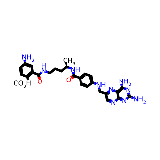 C[C@H](CCCNC(=O)c1cc(N)ccc1C(=O)O)NC(=O)c1ccc(NCc2cnc3nc(N)nc(N)c3n2)cc1